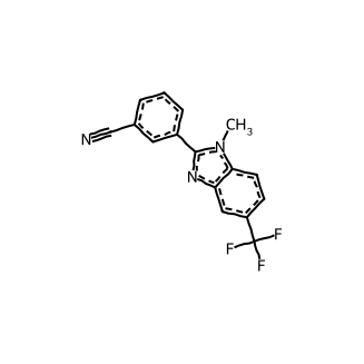 Cn1c(-c2cccc(C#N)c2)nc2cc(C(F)(F)F)ccc21